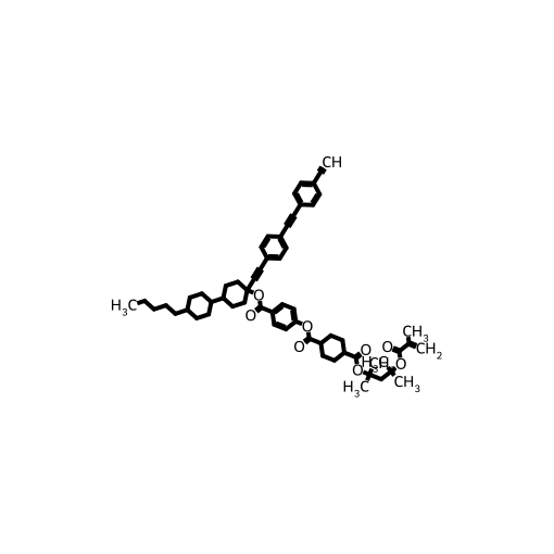 C#Cc1ccc(C#Cc2ccc(C#CC3(OC(=O)c4ccc(OC(=O)C5CCC(C(=O)OC(C)(C)CC(C)(C)OC(=O)C(=C)C)CC5)cc4)CCC(C4CCC(CCCCC)CC4)CC3)cc2)cc1